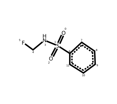 O=S(=O)(NCF)c1ccccc1